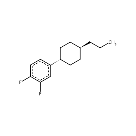 CCC[C@H]1CC[C@H](c2ccc(F)c(F)c2)CC1